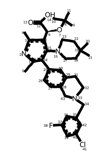 Cc1nc(C)c([C@H](OC(C)(C)C)C(=O)O)c(N2CCC(C)(C)CC2)c1-c1ccc2c(c1)CCN(Cc1cc(F)cc(Cl)c1)C2